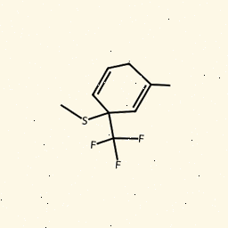 CSC1(C(F)(F)F)C=C[CH]C(C)=C1